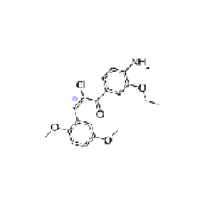 CCOc1cc(C(=O)/C(Cl)=C\c2cc(OC)ccc2OC)ccc1N